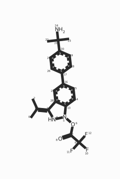 CC(C)=C1NN(OC(=O)C(F)(F)F)c2ccc(-c3ccc(C(C)(C)N)cc3)cc21